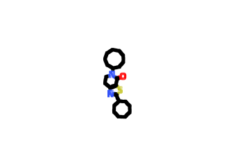 O=C1c2sc(C3CCCCCCC3)nc2CCN1C1CCCCCCCC1